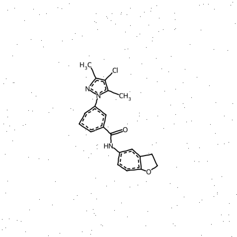 Cc1nn(-c2cccc(C(=O)Nc3ccc4c(c3)CCO4)c2)c(C)c1Cl